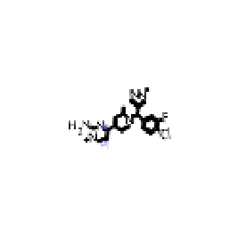 C=N/C=C\C(=N/CN)C1=CC(=C)N(C(c2ccc(Cl)c(F)c2)c2cnn(C)c2)C=C1